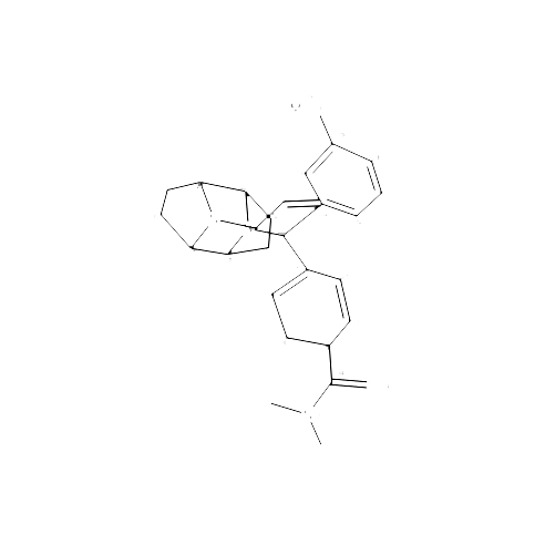 C=CCN1C2CCC1C1CCC2N1C(C1=CCC(C(=O)N(C)C)C=C1)c1cccc(OC)c1